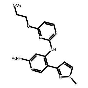 COCCOc1ccnc(Nc2cc(NC(C)=O)ncc2-c2ccn(C)n2)n1